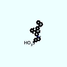 Cc1cccc(C)c1C1=C2C=C/C(=[N+]3/CCCc4cc(S(=O)(=O)O)ccc43)C=C2[Si](C)(C)c2cc(N3CCCc4ccccc43)ccc21